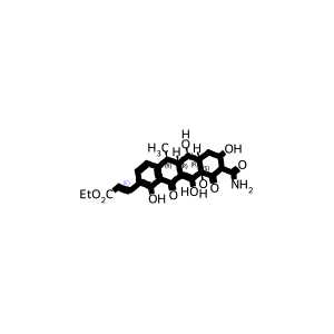 CCOC(=O)/C=C/c1ccc2c(c1O)C(=O)C1=C(O)[C@]3(O)C(=O)C(C(N)=O)C(O)C[C@@H]3[C@@H](O)[C@@H]1[C@H]2C